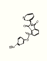 CC(C)(C)c1ccc(SNc2cccc3c2C(=O)N(c2cccnc2)C3=O)cc1